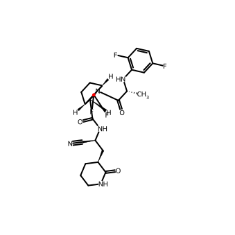 C[C@@H](Nc1cc(F)ccc1F)C(=O)N1[C@H]2CC[C@@H]([C@H]1C(=O)N[C@H](C#N)C[C@@H]1CCCNC1=O)C(F)(F)C2